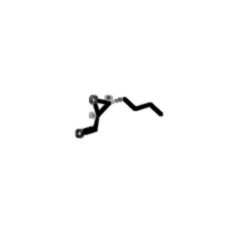 CCCC[C@H]1O[C@@H]1C=O